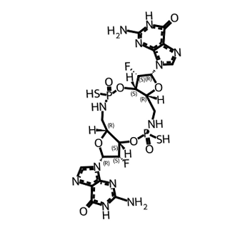 Nc1nc2c(ncn2[C@@H]2O[C@@H]3CNP(=O)(S)O[C@@H]4[C@H](F)[C@H](n5cnc6c(=O)[nH]c(N)nc65)O[C@@H]4CNP(=O)(S)O[C@@H]3[C@@H]2F)c(=O)[nH]1